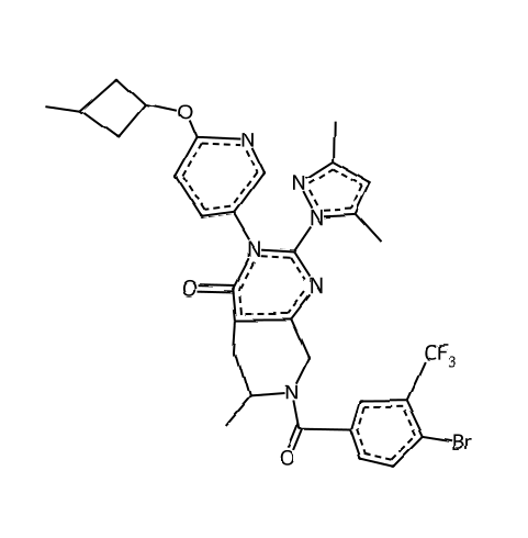 Cc1cc(C)n(-c2nc3c(c(=O)n2-c2ccc(OC4CC(C)C4)nc2)CC(C)N(C(=O)c2ccc(Br)c(C(F)(F)F)c2)C3)n1